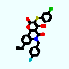 CSc1ccc2c3oc(=O)c(Sc4cccc(Cl)c4)c(O)c3c(=O)n(Cc3ccc(F)cc3)c2c1